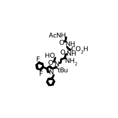 CC(=O)NCC(=O)NC[C@@H](NC(=O)[C@@H](N)CCN(C(=O)CO)[C@@H](c1cc(-c2cc(F)ccc2F)cn1Cc1ccccc1)C(C)(C)C)C(=O)O